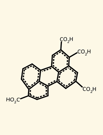 O=C(O)c1cc2c(C(=O)O)c(C(=O)O)cc3c4cccc5c(C(=O)O)ccc(c(c1)c23)c54